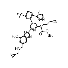 Cn1cnnc1-c1ccc(C(F)(F)F)cc1-c1cc(-c2nc3cc(CNCC4CC4)cc(C(F)(F)F)c3o2)nc(N(CCCC#N)C(=O)OC(C)(C)C)c1